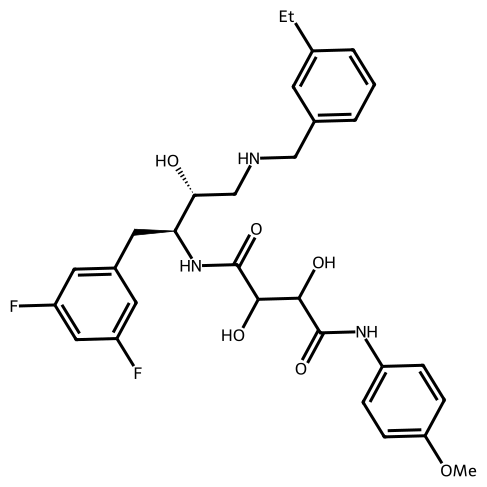 CCc1cccc(CNC[C@@H](O)[C@H](Cc2cc(F)cc(F)c2)NC(=O)C(O)C(O)C(=O)Nc2ccc(OC)cc2)c1